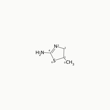 CC1CN=C(N)S1